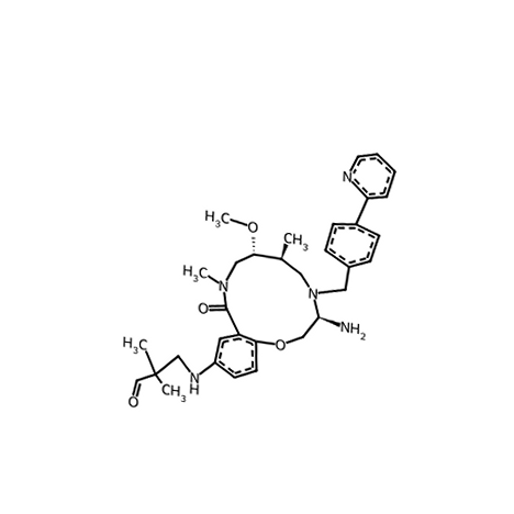 CO[C@H]1CN(C)C(=O)c2cc(NCC(C)(C)C=O)ccc2OC[C@H](N)N(Cc2ccc(-c3ccccn3)cc2)C[C@@H]1C